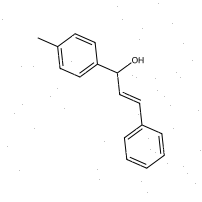 Cc1ccc(C(O)C=Cc2ccccc2)cc1